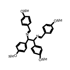 COc1ccc(/C=N/C(c2ccc(OC)cc2)C(/N=C/c2ccc(OC)cc2)c2ccc(OC)cc2)cc1